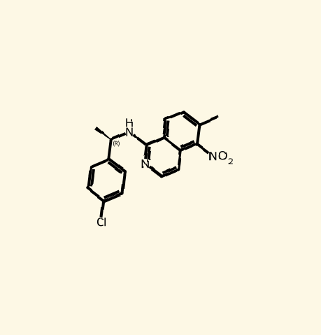 Cc1ccc2c(N[C@H](C)c3ccc(Cl)cc3)nccc2c1[N+](=O)[O-]